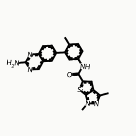 Cc1ccc(NC(=O)c2cc3c(C)nn(C)c3s2)cc1-c1ccc2nc(N)ncc2c1